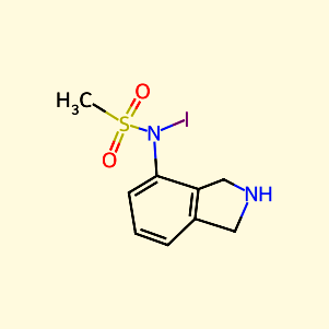 CS(=O)(=O)N(I)c1cccc2c1CNC2